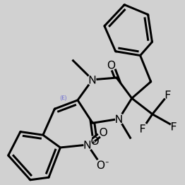 CN1C(=O)C(Cc2ccccc2)(C(F)(F)F)N(C)C(=O)/C1=C\c1ccccc1[N+](=O)[O-]